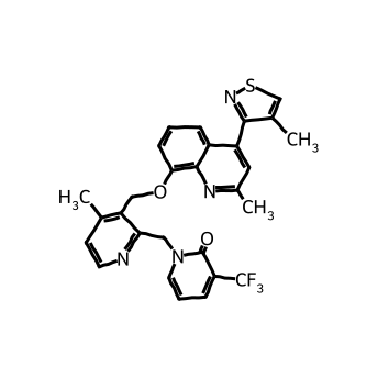 Cc1cc(-c2nscc2C)c2cccc(OCc3c(C)ccnc3Cn3cccc(C(F)(F)F)c3=O)c2n1